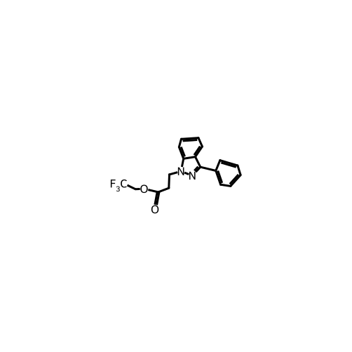 O=C(CCn1nc(-c2ccccc2)c2ccccc21)OCC(F)(F)F